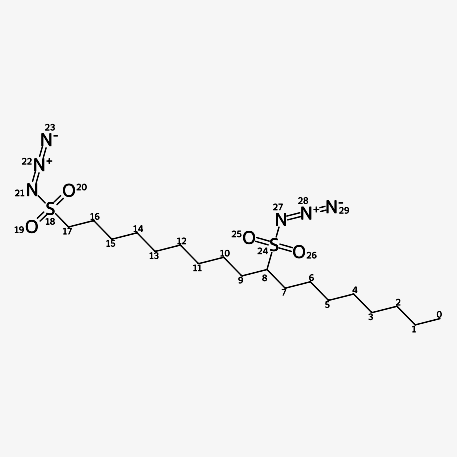 CCCCCCCCC(CCCCCCCCCS(=O)(=O)N=[N+]=[N-])S(=O)(=O)N=[N+]=[N-]